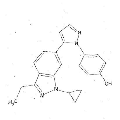 CCc1nn(C2CC2)c2cc(-c3ccnn3-c3ccc(O)cc3)ccc12